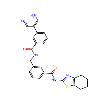 N=C/C(=C\N)c1cccc(C(=O)NCc2cccc(C(=O)Nc3nc4c(s3)CCCC4)c2)c1